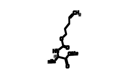 C=CCCCOC(=O)N[C@H](CCCC)C(=O)OC